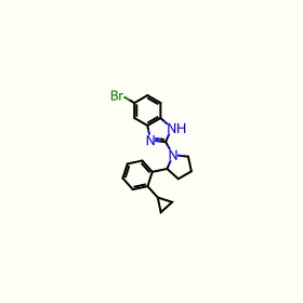 Brc1ccc2[nH]c(N3CCCC3c3ccccc3C3CC3)nc2c1